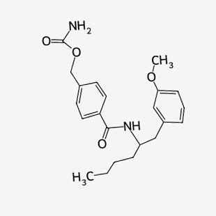 CCCCC(Cc1cccc(OC)c1)NC(=O)c1ccc(COC(N)=O)cc1